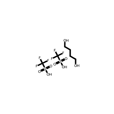 O=S(=O)(O)C(F)(F)F.O=S(=O)(O)C(F)(F)F.OCCCCO